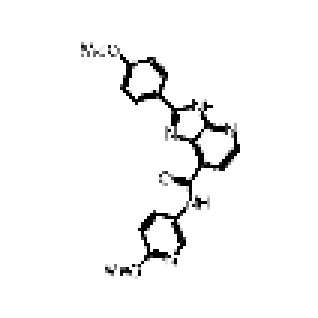 COc1ccc(-c2nc3c(C(=O)Nc4ccc(OC)nc4)ccnc3[nH]2)cc1